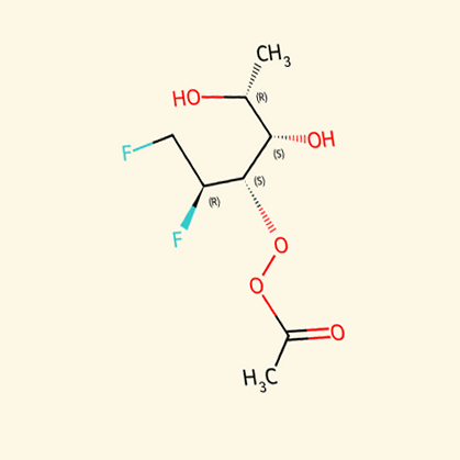 CC(=O)OO[C@@H]([C@@H](O)[C@@H](C)O)[C@@H](F)CF